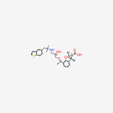 C[C@@H](OC[C@H](O)CNC(C)(C)Cc1ccc2sccc2c1)c1cccc2c1O[C@@H]1[C@@H](C(=O)O)[C@H]21